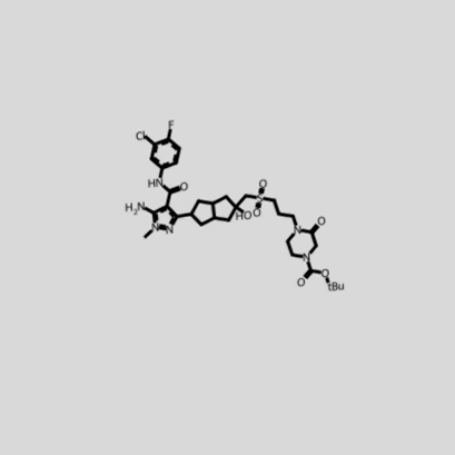 Cn1nc(C2CC3CC(O)(CS(=O)(=O)CCCN4CCN(C(=O)OC(C)(C)C)CC4=O)CC3C2)c(C(=O)Nc2ccc(F)c(Cl)c2)c1N